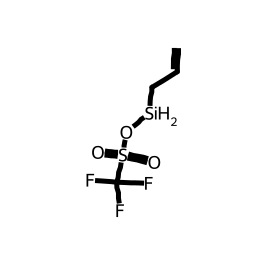 C=CC[SiH2]OS(=O)(=O)C(F)(F)F